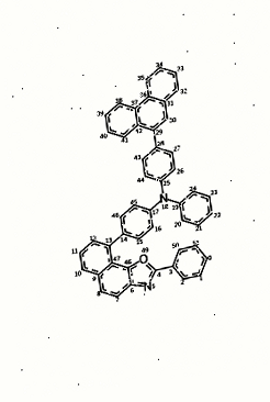 c1ccc(-c2nc3ccc4cccc(-c5ccc(N(c6ccccc6)c6ccc(-c7cc8ccccc8c8ccccc78)cc6)cc5)c4c3o2)cc1